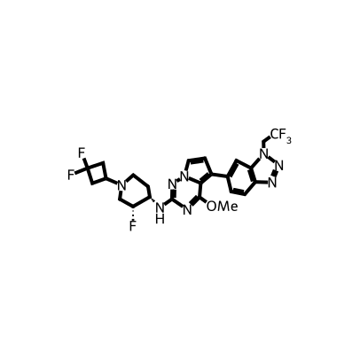 COc1nc(N[C@H]2CCN(C3CC(F)(F)C3)C[C@H]2F)nn2ccc(-c3ccc4nnn(CC(F)(F)F)c4c3)c12